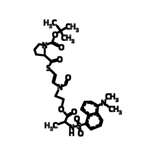 CC(NS(=O)(=O)c1cccc2c(N(C)C)cccc12)C(=O)OCCN(C=O)C=CSC(=O)C1CCCN1C(=O)OC(C)(C)C